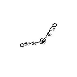 O=S(=O)(OCCC[Se]CCC[Se]Cc1ccccc1)OCCC[Se]CCC[Se]Cc1ccccc1